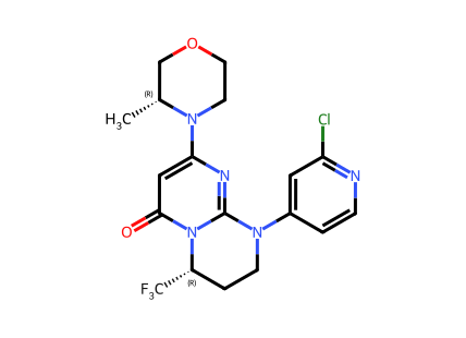 C[C@@H]1COCCN1c1cc(=O)n2c(n1)N(c1ccnc(Cl)c1)CC[C@@H]2C(F)(F)F